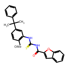 COc1ccc(C(C)(C)c2ccccc2)cc1NC(=S)NC(=O)c1cc2ccccc2o1